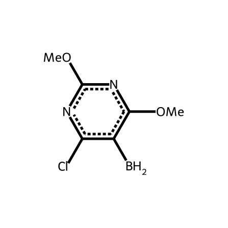 Bc1c(Cl)nc(OC)nc1OC